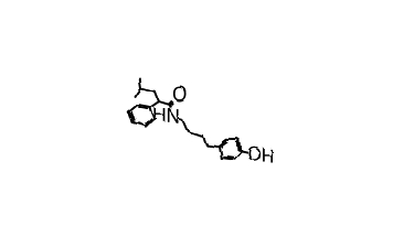 CC(C)CC(C(=O)NCCCCc1ccc(O)cc1)c1ccccc1